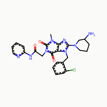 Cn1c(=O)n(CC(=O)Nc2ccccn2)c(=O)c2c1nc(N1CCCC(N)C1)n2Cc1ccccc1Cl